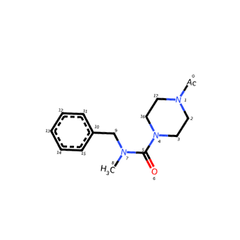 CC(=O)N1CCN(C(=O)N(C)Cc2ccccc2)CC1